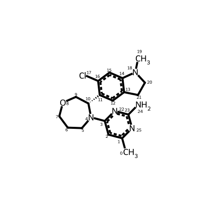 Cc1cc(N2CCCOC[C@@H]2c2cc3c(cc2Cl)N(C)CC3)nc(N)n1